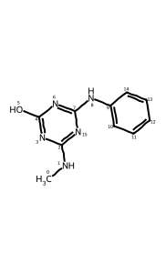 CNc1nc(O)nc(Nc2ccccc2)n1